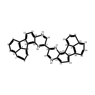 c1cc2c3c(cccc3c1)-c1c-2ccc2ncc(-c3cnc4ccc5c(c4n3)-c3cccc4cccc-5c34)nc12